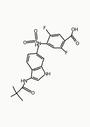 CC(C)(C)C(=O)Nc1c[nH]c2cc(N(c3cc(F)c(C(=O)O)cc3F)[SH](=O)=O)ccc12